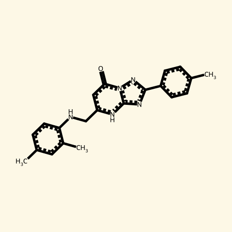 Cc1ccc(-c2nc3[nH]c(CNc4ccc(C)cc4C)cc(=O)n3n2)cc1